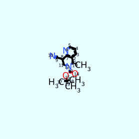 C[C@@H]1c2cccnc2C(C#N)CN1C(=O)OC(C)(C)C